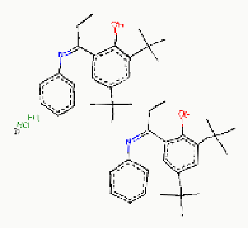 CCC(=Nc1ccccc1)c1cc(C(C)(C)C)cc(C(C)(C)C)c1O.CCC(=Nc1ccccc1)c1cc(C(C)(C)C)cc(C(C)(C)C)c1O.Cl.Cl.[Ti]